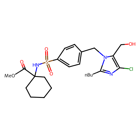 CCCCc1nc(Cl)c(CO)n1Cc1ccc(S(=O)(=O)NC2(C(=O)OC)CCCCC2)cc1